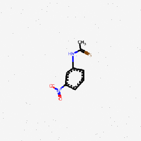 CC(=S)Nc1cccc([N+](=O)[O-])c1